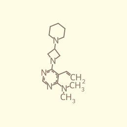 C=Cc1c(N(C)C)ncnc1N1CC(N2CCCCC2)C1